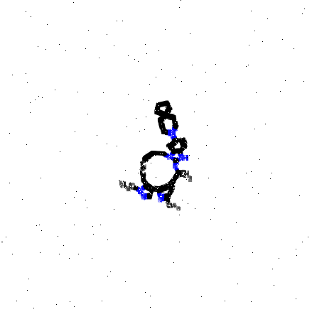 C=C1/N=C2\Nc3ccc(N4CCC5(CCCC5)CC4)cc3N2CCCCCCc2c(cnn2C)-c2cc1cc(C)n2